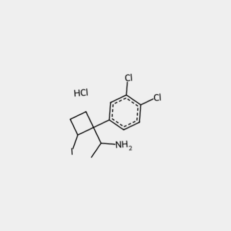 CC(N)C1(c2ccc(Cl)c(Cl)c2)CCC1I.Cl